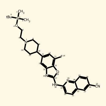 CC(C)(C)[Si](C)(C)OCCN1CCC(c2cc(F)c3oc(Nc4ccc5cc(C#N)ccc5n4)nc3c2)CC1